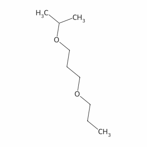 CCCOCCCOC(C)C